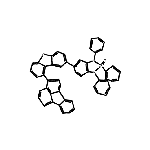 O=P1(c2ccccc2)N(c2ccccc2)c2ccc(-c3ccc4oc5cccc(-c6ccc7c8c(cccc68)-c6ccccc6-7)c5c4c3)cc2N1c1ccccc1